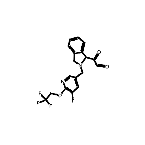 O=CC(=O)C1c2ccccc2CN1Cc1cnc(OCC(F)(F)F)c(F)c1